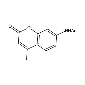 CC(=O)Nc1ccc2c(C)cc(=O)oc2c1